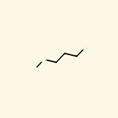 CCCCCCN[SiH3]